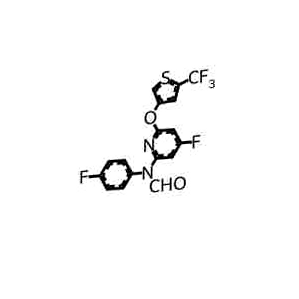 O=CN(c1ccc(F)cc1)c1cc(F)cc(Oc2csc(C(F)(F)F)c2)n1